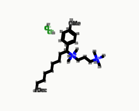 CCCCCCCCCCCCCCCCCC(c1ccc(OC)cc1)[N+](C)(C)CCC[N+](C)(C)C.[Cl-].[Cl-]